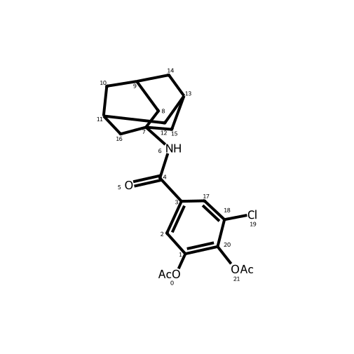 CC(=O)Oc1cc(C(=O)NC23CC4CC(CC(C4)C2)C3)cc(Cl)c1OC(C)=O